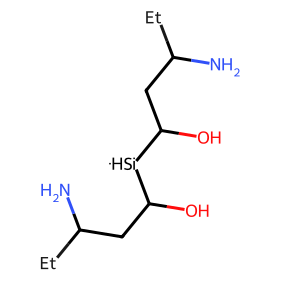 CCC(N)CC(O)[SiH]C(O)CC(N)CC